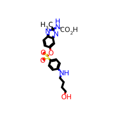 CC1(NC(=O)O)N=c2ccc(OS(=O)(=O)c3ccc(NCCCCO)cc3)cc2=N1